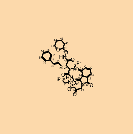 CC(C)C[C@@H](C(=O)NN(CC(C)C)S(=O)(=O)C(=O)CN1C(=O)C2=CC=CC(=O)C2C1=O)[C@H](CC=Cc1ccccc1)C(=O)NOC1CCCCO1